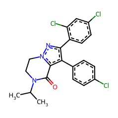 CC(C)N1CCn2nc(-c3ccc(Cl)cc3Cl)c(-c3ccc(Cl)cc3)c2C1=O